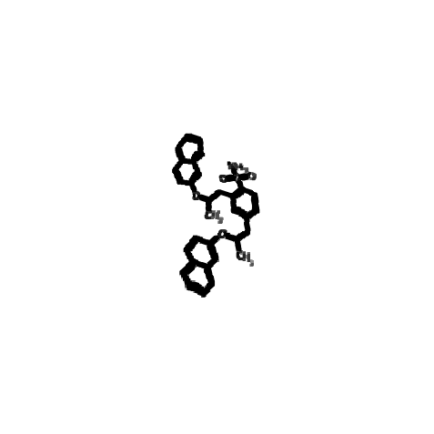 CC(Cc1ccc(S(N)(=O)=O)c(CC(C)Oc2ccc3ccccc3c2)c1)Oc1ccc2ccccc2c1